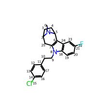 CN1C2CCC1c1c(n(CCc3ccc(Cl)cc3)c3ccc(F)cc13)C2